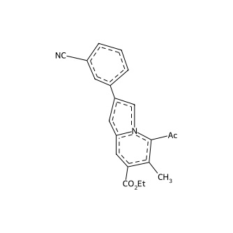 CCOC(=O)c1cc2cc(-c3cccc(C#N)c3)cn2c(C(C)=O)c1C